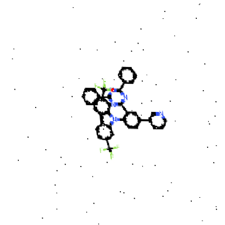 FC(F)(F)c1ccc2c3ccc(C(F)(F)F)cc3n(-c3ccc(-c4cccnc4)cc3-c3nc(-c4ccccc4)nc(-c4ccccc4)n3)c2c1